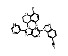 N#Cc1ccc2ncn(-c3ncc4nc(-c5cncnc5)n(C5CCOc6c(F)ccc(F)c65)c4n3)c2c1